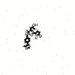 Cc1ncsc1-c1ccc(CNC(=O)[C@@H]2C[C@@H](O)CN2C(=O)C2CCC(=O)N2)cc1